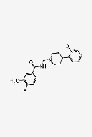 Cc1cc(C(=O)NCN2CCC(c3cccc[n+]3[O-])CC2)ccc1F